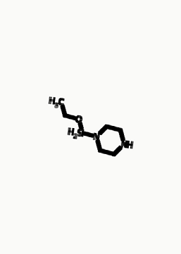 CCO[SiH2]N1CCNCC1